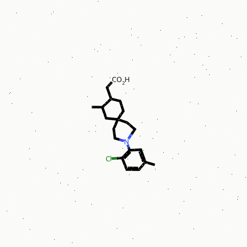 Cc1ccc(Cl)c(N2CCC3(CCC(CC(=O)O)C(C)C3)CC2)c1